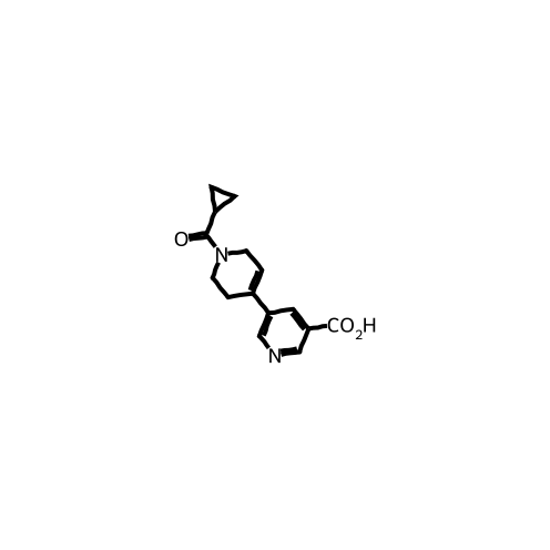 O=C(O)c1cncc(C2=CCN(C(=O)C3CC3)CC2)c1